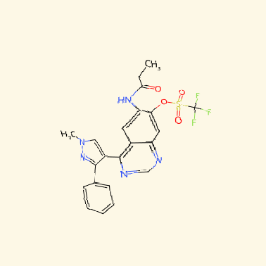 CCC(=O)Nc1cc2c(-c3cn(C)nc3-c3ccccc3)ncnc2cc1OS(=O)(=O)C(F)(F)F